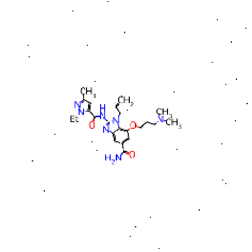 C=CCn1c(NC(=O)c2cc(C)nn2CC)nc2cc(C(N)=O)cc(OCCCN(C)C)c21